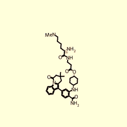 CNCCCC[C@H](N)C(=O)NCCC(=O)O[C@H]1CC[C@H](Nc2cc(-c3c4n(c5ccccc35)C(=O)CC(C)(C)C4)ccc2C(N)=O)CC1